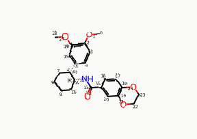 COc1ccc([C@H]2CCCC[C@H]2NC(=O)c2ccc3c(c2)OCCO3)cc1OC